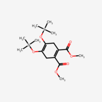 COC(=O)C1=C(C(=O)OC)CC(O[Si](C)(C)C)=C(O[Si](C)(C)C)C1